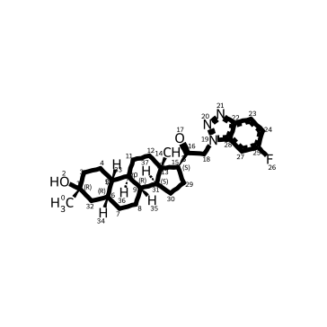 C[C@@]1(O)CC[C@H]2[C@H](CC[C@@H]3[C@@H]2CC[C@]2(C)[C@@H](C(=O)Cn4nnc5ccc(F)cc54)CC[C@@H]32)C1